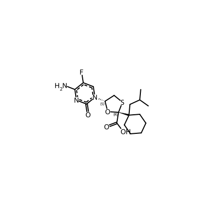 CC(C)CC1([C@@]2(C(=O)O)O[C@H](n3cc(F)c(N)nc3=O)CS2)CCCCC1